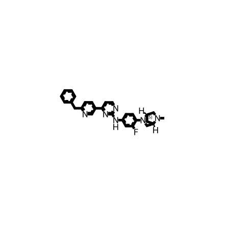 CN1C[C@@H]2C[C@H]1CN2c1ccc(Nc2nccc(-c3ccc(Cc4ccccc4)nc3)n2)cc1F